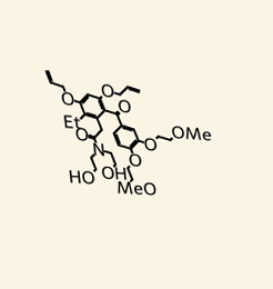 C=CCOc1cc(OCC=C)c(C(=O)c2ccc(OCCOC)c(OCCOC)c2)c(CC(=O)N(CCO)CCO)c1CC